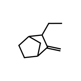 C=C1C2CCC(C2)C1CC